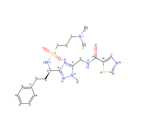 CCN(CC)CCCS(=O)(=O)N[C@H](CCc1ccccc1)c1nc(CNC(=O)c2cncs2)n(C)n1